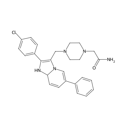 NC(=O)CN1CCN(CC2=C(c3ccc(Cl)cc3)NC3C=CC(c4ccccc4)=CN23)CC1